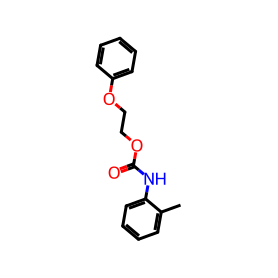 Cc1ccccc1NC(=O)OCCOc1ccccc1